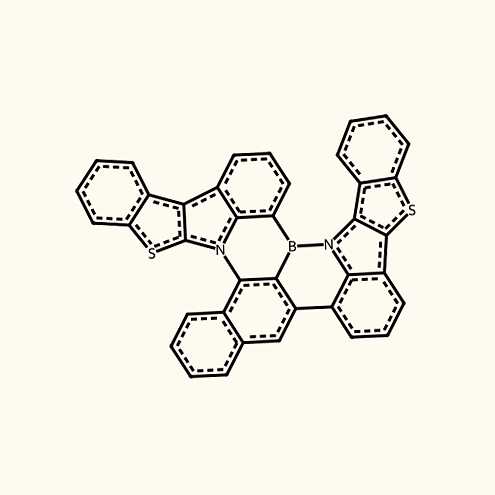 c1ccc2c3c4c(cc2c1)-c1cccc2c5sc6ccccc6c5n(c12)B4c1cccc2c4c5ccccc5sc4n-3c12